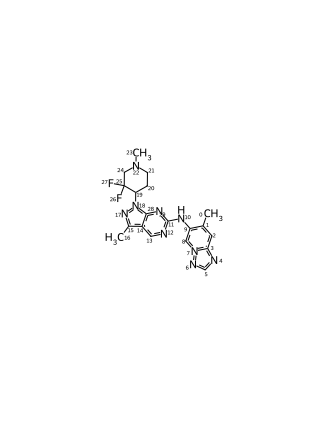 Cc1cc2ncnn2cc1Nc1ncc2c(C)nn(C3CCN(C)CC3(F)F)c2n1